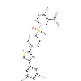 O=[N+]([O-])c1cc(S(=O)(=O)N2CCN(c3nc(-c4cc(F)cc(F)c4)cs3)CC2)ccc1Cl